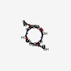 CO[C@H]1C[C@H](CC[C@H](C)[C@H](O)[C@H](C)[C@H]2OC(=O)/C=C/C(C)=C/C[C@H](O)C[C@@H]3C=CC[C@@H](C[C@H](OC)[C@@H](C)[C@@H](O)C[C@@H](O)[C@H](C)[C@@H]([C@@H](C)[C@@H](O)[C@@H](C)CC[C@H]4C[C@H](O)C[C@H](C)O4)OC(=O)/C=C/C(C)=C/C[C@H](O)C[C@@H]4C=CC[C@@H](C[C@H](OC)[C@@H](C)[C@@H](O)C[C@@H](O)[C@@H]2C)O4)O3)O[C@@H](C)C1